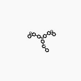 c1ccc(-c2ccc(-c3ccc(N(c4ccc(-c5ccc6oc7ccccc7c6c5)cc4)c4ccc(-c5ccc6oc7ccccc7c6c5)cc4)cc3)s2)cc1